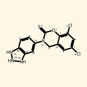 S=C1Oc2c(Cl)cc(Cl)cc2CN1c1ccc2c(c1)NNN2